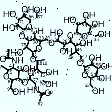 CC(=O)NC1C(C)OC(CO)C(OC(OC(CO)[C@H](C)OC2OC(COC(O)C(O)C(O[C@H]3O[C@@H](CO)C(O)C(O)C3O)C(O)C(C)COC3OC(CO)C(O)C(O)C3O)C(O)C(O[C@H]3O[C@@H](CO)C(O)C(O)C3O)C2O)[C@H](CO)NC(C)=O)C1O